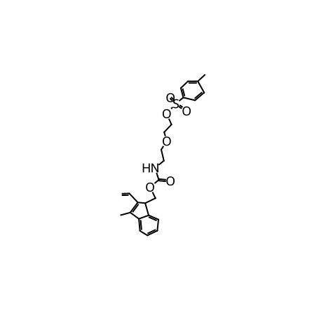 C=CC1=C(C)c2ccccc2C1COC(=O)NCCOCCOS(=O)(=O)c1ccc(C)cc1